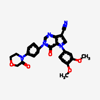 COc1ccc(-n2cc(C#N)c3ncn(-c4ccc(N5CCOCC5=O)cc4)c(=O)c32)cc1OC